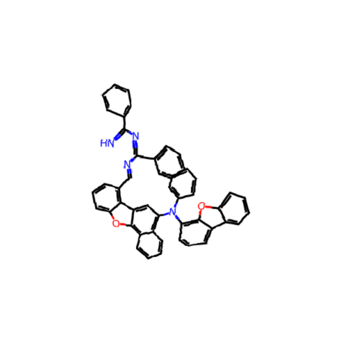 N=C(/N=C(\N=C\c1cccc2oc3c4ccccc4c(N(c4ccccc4)c4cccc5c4oc4ccccc45)cc3c12)c1ccccc1)c1ccccc1